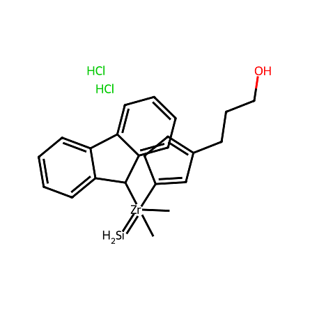 Cl.Cl.[CH3][Zr]([CH3])(=[SiH2])([C]1=CC(CCCO)=CC1)[CH]1c2ccccc2-c2ccccc21